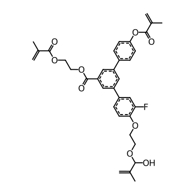 C=C(C)C(=O)OCCOC(=O)c1cc(-c2ccc(OC(=O)C(=C)C)cc2)cc(-c2ccc(OCCOC(O)C(=C)C)c(F)c2)c1